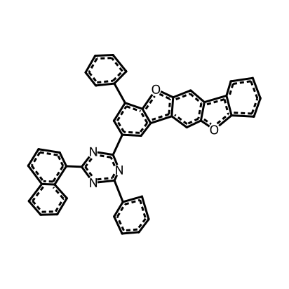 c1ccc(-c2nc(-c3cc(-c4ccccc4)c4oc5cc6c(cc5c4c3)oc3ccccc36)nc(-c3cccc4ccccc34)n2)cc1